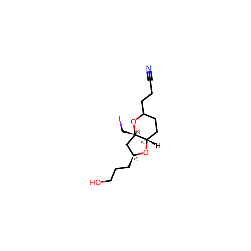 N#CCCC1CC[C@@H]2O[C@@H](CCCO)C[C@]2(CI)O1